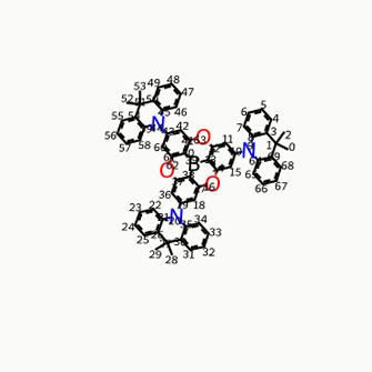 CC1(C)c2ccccc2N(c2cc3c4c(c2)Oc2cc(N5c6ccccc6C(C)(C)c6ccccc65)cc5c2B4c2c(cc(N4c6ccccc6C(C)(C)c6ccccc64)cc2O5)O3)c2ccccc21